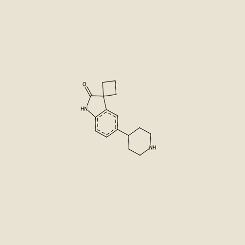 O=C1Nc2ccc(C3CCNCC3)cc2C12CCC2